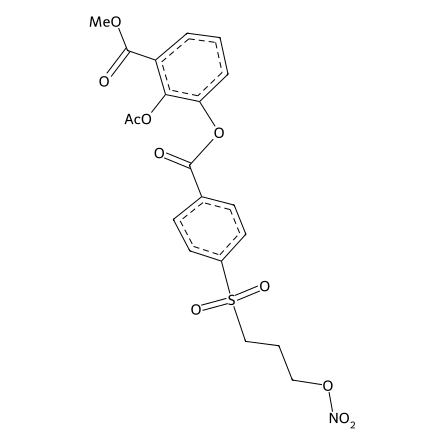 COC(=O)c1cccc(OC(=O)c2ccc(S(=O)(=O)CCCO[N+](=O)[O-])cc2)c1OC(C)=O